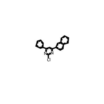 Clc1nc(-c2ccccc2)cc(-c2ccc3ccccc3c2)n1